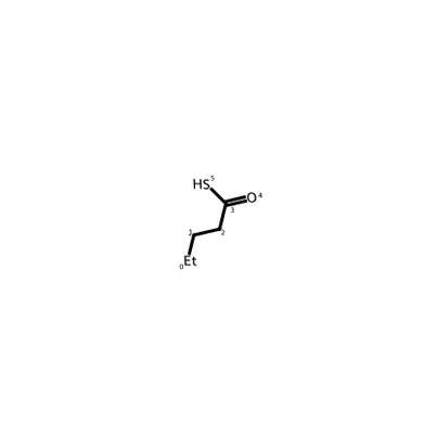 CC[CH]CC(=O)S